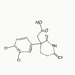 O=C(O)CC1(c2ccc(Cl)c(Cl)c2)CCC(=O)NC1=O